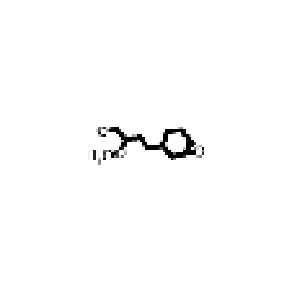 COC(C[O])CCC1CCC2OC2C1